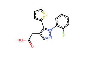 O=C(O)Cc1cnn(-c2ccccc2F)c1-c1cccs1